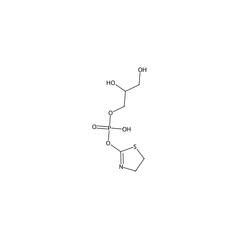 O=P(O)(OCC(O)CO)OC1=NCCS1